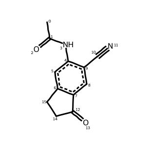 CC(=O)Nc1cc2c(cc1C#N)C(=O)CC2